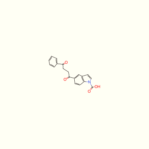 O=C(CCC(=O)c1ccc2c(ccn2C(=O)O)c1)c1ccccc1